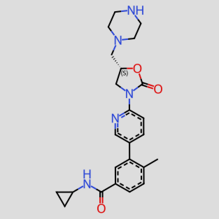 Cc1ccc(C(=O)NC2CC2)cc1-c1ccc(N2C[C@H](CN3CCNCC3)OC2=O)nc1